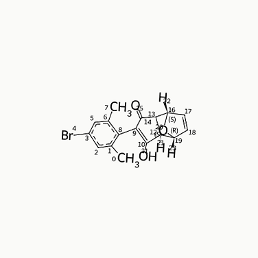 Cc1cc(Br)cc(C)c1C1=C(O)[C@H]2C(C1=O)[C@@H]1C=C[C@H]2O1